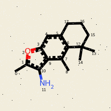 Cc1oc2cc3c(c(C)c2c1N)C(C)(C)CCC3